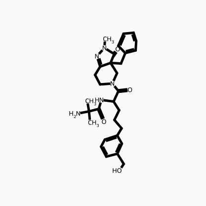 CN1N=C2CCN(C(=O)C(CCCc3cccc(CO)c3)NC(=O)C(C)(C)N)CC2(Cc2ccccc2)C1=O